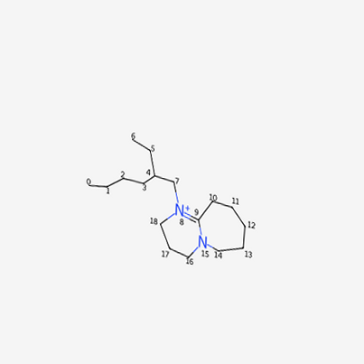 CCCCC(CC)C[N+]1=C2CCCCCN2CCC1